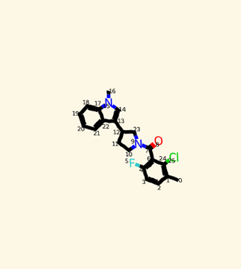 Cc1ccc(F)c(C(=O)N2CCC(c3cn(C)c4ccccc34)C2)c1Cl